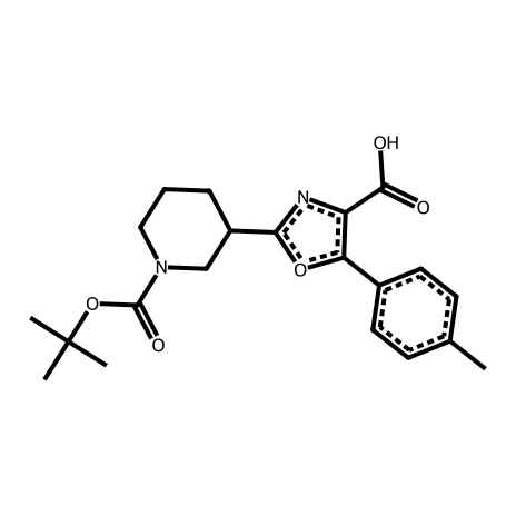 Cc1ccc(-c2oc(C3CCCN(C(=O)OC(C)(C)C)C3)nc2C(=O)O)cc1